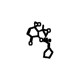 CO[C@@H]1C(=O)C=C[C@]2(CO2)[C@H]1C1(C)O[C@@H]1CC=C1CCCC1